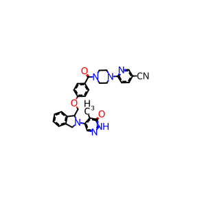 Cc1c(N2Cc3ccccc3C2COc2ccc(C(=O)N3CCN(c4ccc(C#N)cn4)CC3)cc2)cn[nH]c1=O